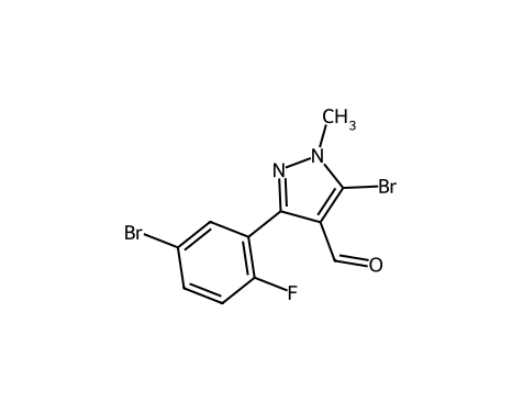 Cn1nc(-c2cc(Br)ccc2F)c(C=O)c1Br